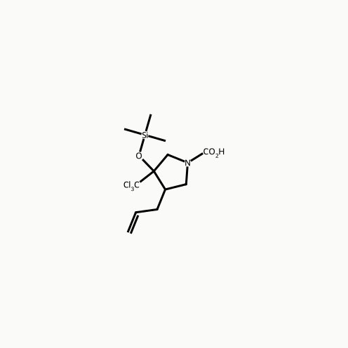 C=CCC1CN(C(=O)O)CC1(O[Si](C)(C)C)C(Cl)(Cl)Cl